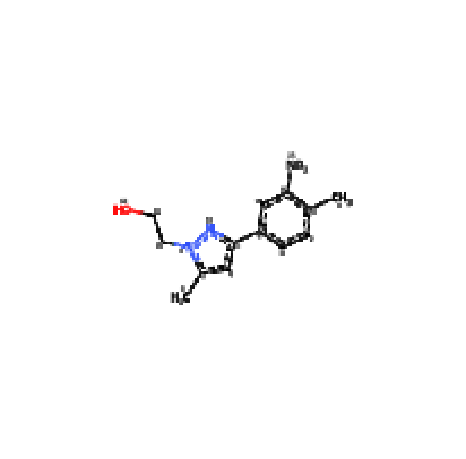 Cc1ccc(-c2cc(C)n(CCO)n2)cc1[N+](=O)[O-]